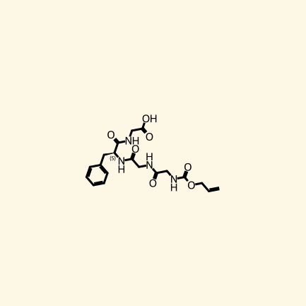 C=CCOC(=O)NCC(=O)NCC(=O)N[C@@H](Cc1ccccc1)C(=O)NCC(=O)O